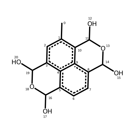 Cc1cc2c3c(ccc4c3c1C(O)OC4O)C(O)OC2O